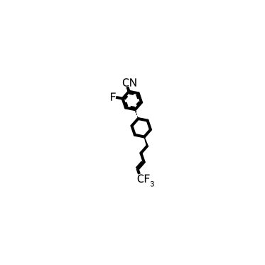 N#Cc1ccc([C@H]2CC[C@H](CC/C=C/C(F)(F)F)CC2)cc1F